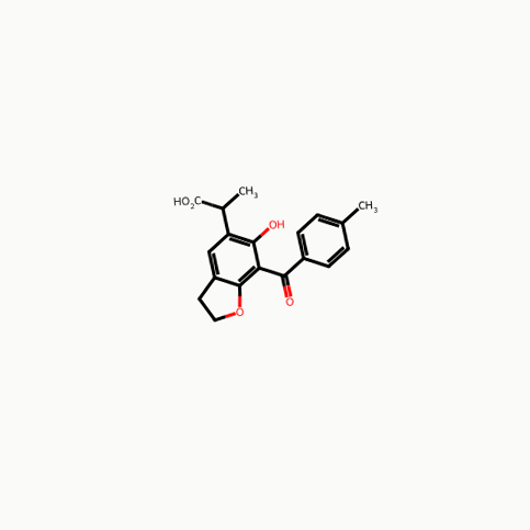 Cc1ccc(C(=O)c2c(O)c(C(C)C(=O)O)cc3c2OCC3)cc1